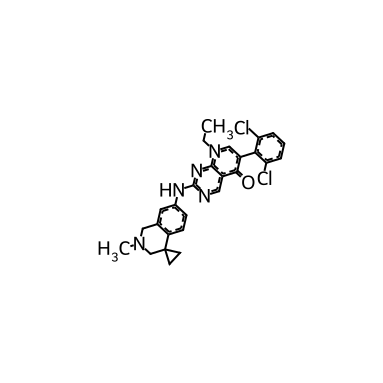 CCn1cc(-c2c(Cl)cccc2Cl)c(=O)c2cnc(Nc3ccc4c(c3)CN(C)CC43CC3)nc21